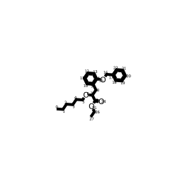 CCCCCCOC(Cc1ccccc1OCc1ccccc1)C(=O)OCC